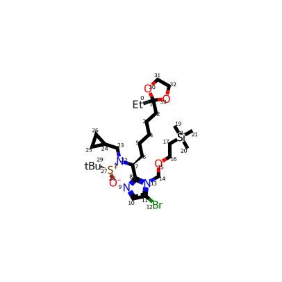 CCC1(CCCCC[C@@H](c2ncc(Br)n2COCC[Si](C)(C)C)N(CC2CC2)[S@+]([O-])C(C)(C)C)OCCO1